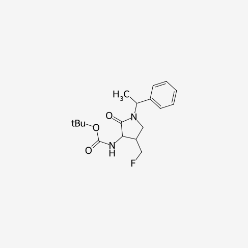 CC(c1ccccc1)N1CC(CF)C(NC(=O)OC(C)(C)C)C1=O